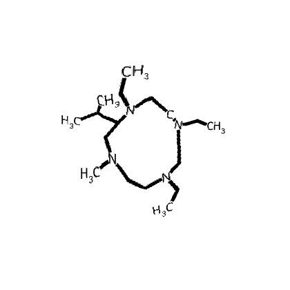 CCN1CCN(C)CC(C(C)C)N(CC)CCN(CC)CC1